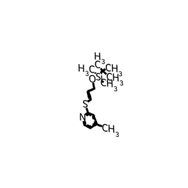 Cc1ccnc(SC=CCO[Si](C)(C)C(C)(C)C)c1